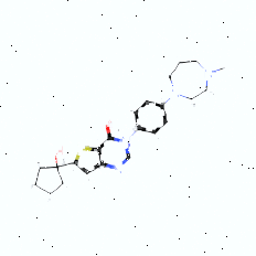 CN1CCCN(c2ccc(-n3cnc4cc(C5(O)CCCC5)sc4c3=O)cc2)CC1